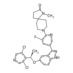 C[C@@H](Oc1ccc2[nH]nc(-c3cnc(N4CCC5(CCC(=O)N5C)CC4)c(F)c3)c2c1)c1c(Cl)cncc1Cl